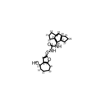 O=C(NSc1cc2c(o1)CCCCC2O)Nc1c2c(cc3c1CCC3)CCC2